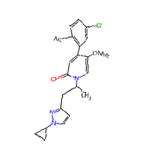 COc1cn(C(C)Cc2ccn(C3CC3)n2)c(=O)cc1-c1cc(Cl)ccc1C(C)=O